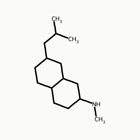 CNC1CCC2CCC(CC(C)C)CC2C1